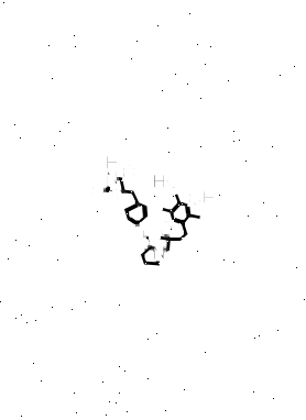 Cc1c(C)c2c(c(C)c1O)CCC(C)(CN1CCC[C@H]1COc1ccc(CC3SC(=O)NC3=O)cc1)O2.Cl